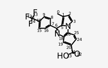 Cc1ccn2c1c(-c1ccc(C(F)(F)F)cc1)nc1cc(C(=O)O)ccc12